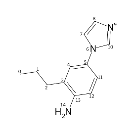 CCCc1cc(-n2ccnc2)ccc1N